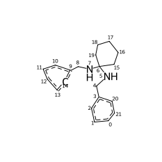 c1ccc(CNC2(NCc3ccccc3)CCCCC2)cc1